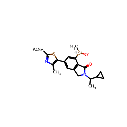 CC(=O)Nc1nc(C)c(-c2cc3c(c([S@@+](C)[O-])c2)C(=O)N(C(C)C2CC2)C3)s1